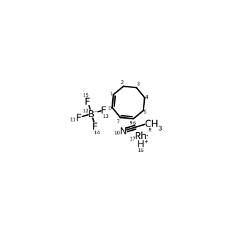 C1=CCCCCC=C1.CC#N.F[B-](F)(F)F.[H+].[Rh]